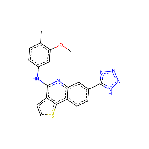 COc1cc(Nc2nc3cc(-c4nnn[nH]4)ccc3c3sccc23)ccc1C